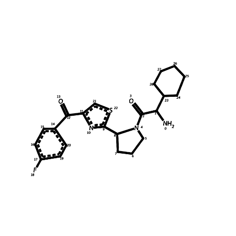 NC(C(=O)N1CCCC1c1nc(C(=O)c2ccc(F)cc2)cs1)C1CCCCC1